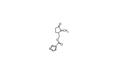 CN1C(=O)CCC1COC(=O)n1ccnc1